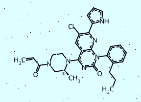 C=CC(=O)N1CCN(c2nc(=O)n(-c3ccccc3CCC)c3nc(-c4ccc[nH]4)c(Cl)cc23)[C@@H](C)C1